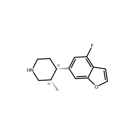 C[C@@H]1CNCC[C@@H]1c1cc(F)c2ccoc2c1